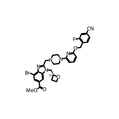 COC(=O)c1cc(Br)c2nc(CN3CCN(c4cccc(OCc5ccc(C#N)cc5F)n4)CC3)n(C[C@@H]3CCO3)c2c1